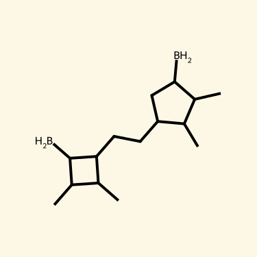 BC1CC(CCC2C(B)C(C)C2C)C(C)C1C